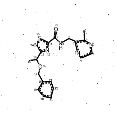 Cc1nccnc1CNC(=O)c1nc(C(C)OCc2ccccc2)ns1